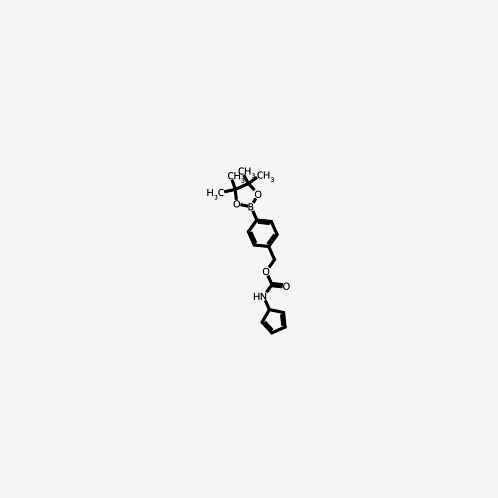 CC1(C)OB(c2ccc(COC(=O)NC3C=CC=C3)cc2)OC1(C)C